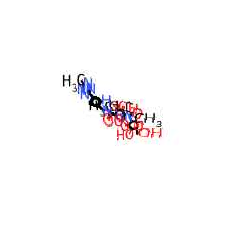 CO[C@H]1C(O)C[C@H](OC2C(NC(C)=O)[C@H](C)OC(CO)[C@H]2O)OC1C(=O)NCc1ccc(-c2nnc(C)nn2)cc1